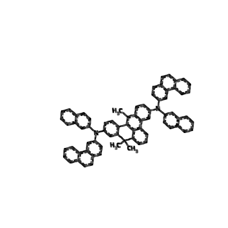 Cc1c2c3c(cccc3c3cc(N(c4ccc5ccccc5c4)c4ccc5ccc6ccccc6c5c4)ccc13)C(C)(C)c1cc(N(c3ccc4ccccc4c3)c3ccc4ccc5ccccc5c4c3)ccc1-2